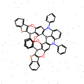 c1ccc(N2c3cccc4c3B(c3c2cc2c5c3Oc3ccccc3B5c3sc5ccccc5c3O2)c2c(cc3c5c2Oc2ccccc2B5c2sc5ccccc5c2O3)N4c2ccccc2)cc1